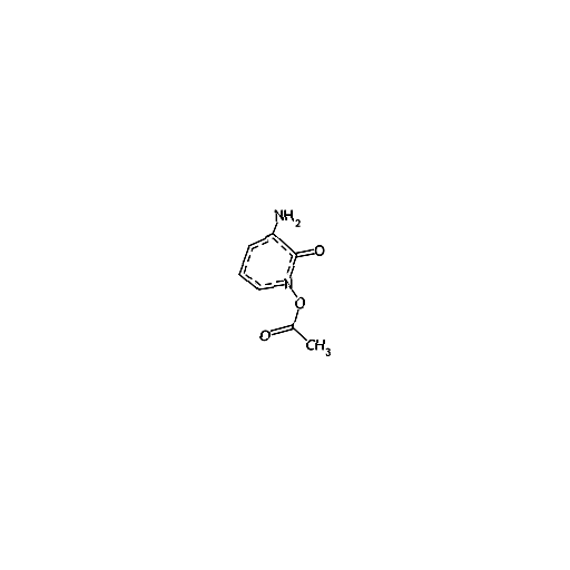 CC(=O)On1cccc(N)c1=O